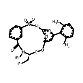 Cc1cccc(C)c1-c1cc2nc(n1)NS(=O)(=O)c1cccc(c1)C(=O)N(C(C)C)[C@H](CC(C)C)CO2